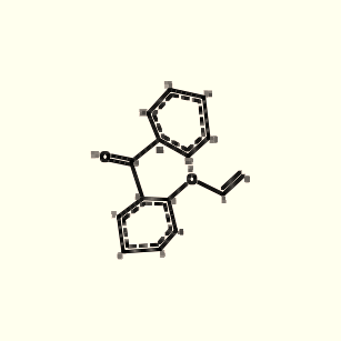 C=COc1ccccc1C(=O)c1ccccc1